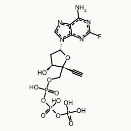 C#C[C@]1(COP(=O)(O)OP(=O)(O)OP(=O)(O)O)O[C@@H](n2cnc3c(N)nc(F)nc32)C[C@@H]1O